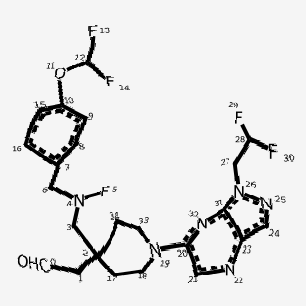 O=CCC1(CN(F)Cc2ccc(OC(F)F)cc2)CCN(c2cnc3cnn(CC(F)F)c3n2)CC1